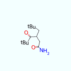 CC(C)(C)CC(CC(N)=O)C(=O)C(C)(C)C